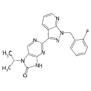 CC(C)n1c(=O)[nH]c2nc(-c3nn(Cc4ccccc4F)c4ncccc34)ncc21